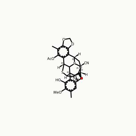 COc1c(C)cc2c(c1O)[C@@H]1C3[C@@H]4SC[C@H](O)C(=O)OC[C@@H](c5c6c(c(C)c(OC(C)=O)c54)OCO6)N3[C@@H](C#N)[C@H](C2)N1C